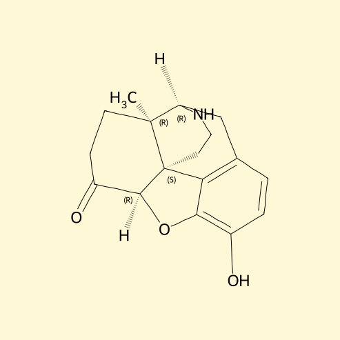 C[C@@]12CCC(=O)[C@@H]3Oc4c(O)ccc5c4[C@@]31CCN[C@@H]2C5